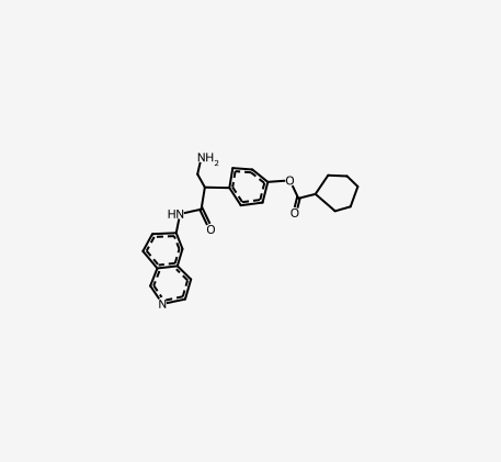 NCC(C(=O)Nc1ccc2cnccc2c1)c1ccc(OC(=O)C2CCCCC2)cc1